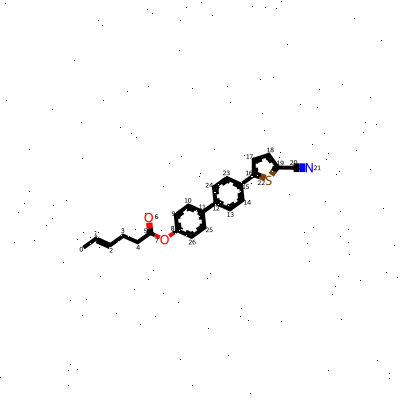 CC=CCCC(=O)Oc1ccc(-c2ccc(-c3ccc(C#N)s3)cc2)cc1